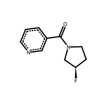 O=C(c1cc[c]nc1)N1CC[C@@H](F)C1